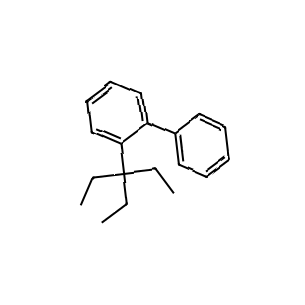 CCC(CC)(CC)c1ccccc1-c1ccccc1